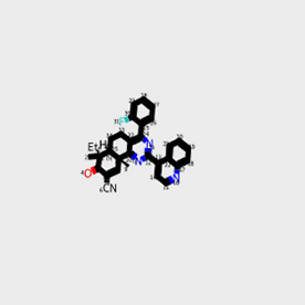 CC[C@@]1(C)C(=O)C(C#N)=C[C@@]2(C)c3nc(-c4ccnc5ccccc45)nc(-c4ccccc4F)c3CC[C@H]12